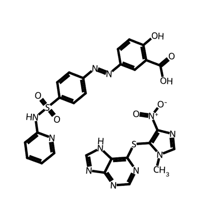 Cn1cnc([N+](=O)[O-])c1Sc1ncnc2nc[nH]c12.O=C(O)c1cc(N=Nc2ccc(S(=O)(=O)Nc3ccccn3)cc2)ccc1O